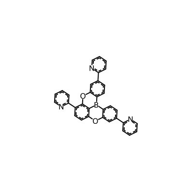 c1ccc(-c2ccc3c(c2)Oc2ccc(-c4ccccn4)c4c2B3c2ccc(-c3ccccn3)cc2O4)nc1